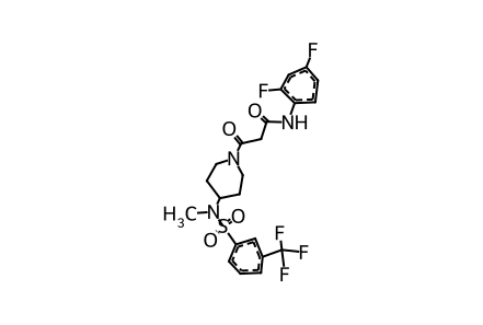 CN(C1CCN(C(=O)CC(=O)Nc2ccc(F)cc2F)CC1)S(=O)(=O)c1cccc(C(F)(F)F)c1